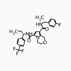 CC[C@@H](NC(=O)c1cc(C(=O)N[C@H](C)c2ccc(F)cc2)c2n1CCOC2)c1ccc(C(F)(F)F)cc1